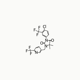 CC1(C)C(=O)N(c2ccc(Cl)c(C(F)(F)F)c2)C(=O)N1Cc1ccc(C(F)(F)F)nc1